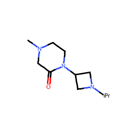 CC(C)N1CC(N2CCN(C)CC2=O)C1